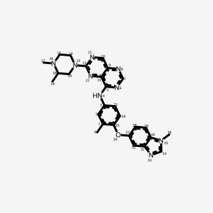 Cc1cc(Nc2ncnc3cnc(N4CCN(C)C(C)C4)nc23)ccc1Oc1ccc2c(c1)ncn2C